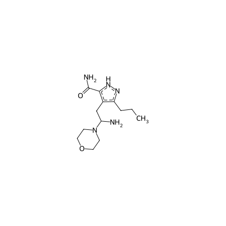 CCCc1n[nH]c(C(N)=O)c1CC(N)N1CCOCC1